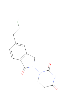 O=C1CCN(N2Cc3cc(CCCl)ccc3C2=O)C(=O)N1